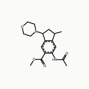 COC(=O)c1cc2c(cc1NC(C)=O)C(C)CC2N1CCOCC1